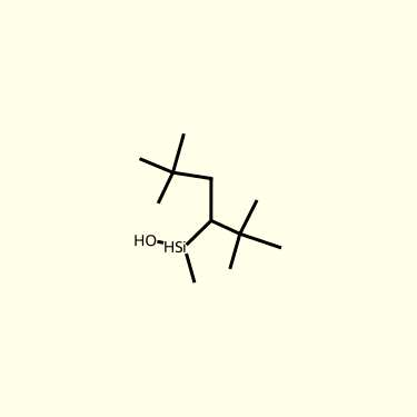 C[SiH](O)C(CC(C)(C)C)C(C)(C)C